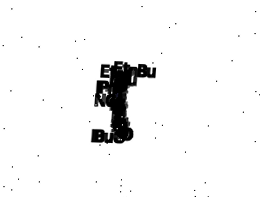 CCCCC(CC)CN(CC(CC)CCCC)c1ccc(/N=N/c2sc(N=Nc3ccc(C(=O)OCC(C)C)cc3)cc2C#N)c(C(C)C)c1